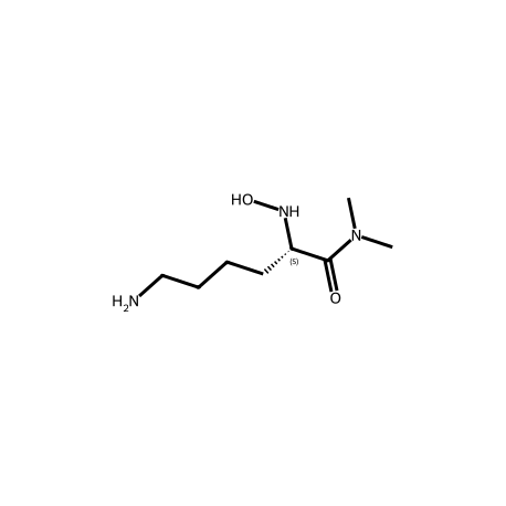 CN(C)C(=O)[C@H](CCCCN)NO